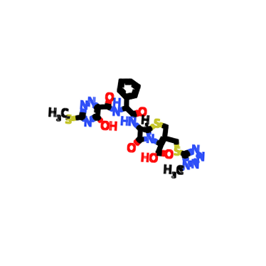 CSc1nnc(C(=O)NC(C(=O)NC2C(=O)N3C(C(=O)O)=C(CSc4nnnn4C)CS[C@H]23)c2ccccc2)c(O)n1